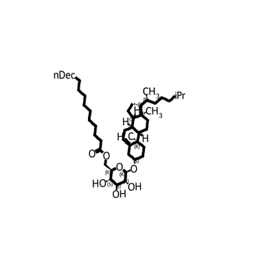 CCCCCCCCCCCCCCCCCCCC(=O)OC[C@H]1O[C@@H](O[C@H]2CC[C@@]3(C)C(=CC[C@H]4[C@@H]5CC[C@H]([C@H](C)CCCC(C)C)[C@@]5(C)CC[C@@H]43)C2)[C@H](O)[C@@H](O)[C@@H]1O